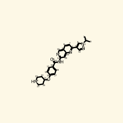 CC(C)n1cc(-c2ccc3cnc(NC(=O)c4ccc(OC5CCNCC5)cc4)cc3n2)cn1